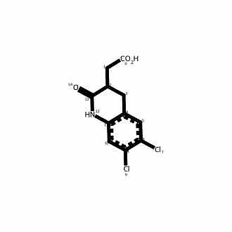 O=C(O)CC1Cc2cc(Cl)c(Cl)cc2NC1=O